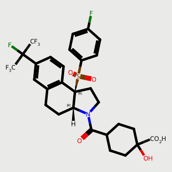 O=C(C1CCC(O)(C(=O)O)CC1)N1CC[C@@]2(S(=O)(=O)c3ccc(F)cc3)c3ccc(C(F)(C(F)(F)F)C(F)(F)F)cc3CC[C@@H]12